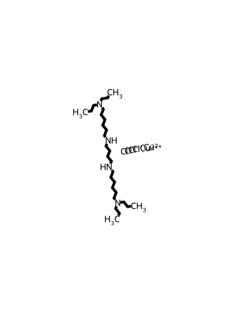 CCCN(CCC)CCCCCCNCCCCNCCCCCCN(CCC)CCC.[Cl-].[Cl-].[Cl-].[Cl-].[Cu+2].[Cu+2]